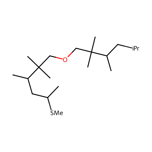 CSC(C)CC(C)C(C)(C)COCC(C)(C)C(C)CC(C)C